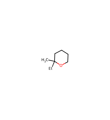 CCC1(C)CCCCO1